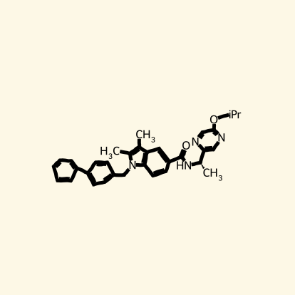 Cc1c(C)n(Cc2ccc(-c3ccccc3)cc2)c2ccc(C(=O)N[C@@H](C)c3cnc(OC(C)C)cn3)cc12